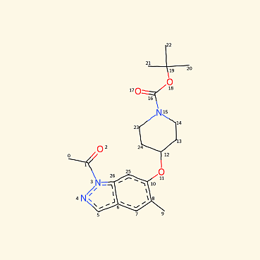 CC(=O)n1ncc2cc(C)c(OC3CCN(C(=O)OC(C)(C)C)CC3)cc21